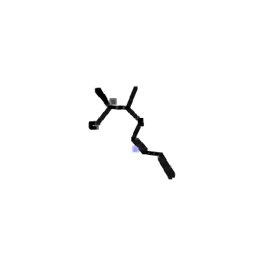 C=C/C=C\SC(C)[C@H](C)Cl